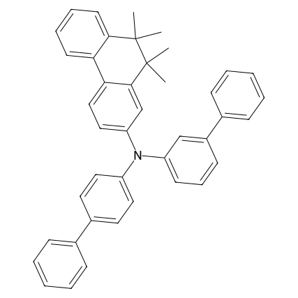 CC1(C)c2ccccc2-c2ccc(N(c3ccc(-c4ccccc4)cc3)c3cccc(-c4ccccc4)c3)cc2C1(C)C